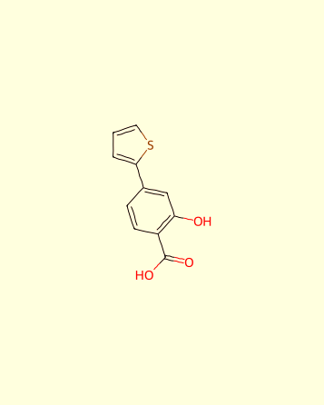 O=C(O)c1ccc(-c2cccs2)cc1O